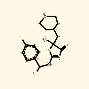 CC(NC1=NC(=O)C(C)(CC2CCOCC2)S1)c1ccc(F)cc1